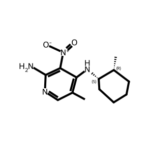 Cc1cnc(N)c([N+](=O)[O-])c1N[C@H]1CCCC[C@H]1C